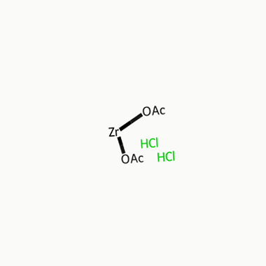 CC(=O)[O][Zr][O]C(C)=O.Cl.Cl